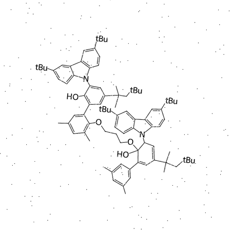 Cc1cc(C)cc(C2=CC(C(C)(C)CC(C)(C)C)=CC(n3c4ccc(C(C)(C)C)cc4c4cc(C(C)(C)C)ccc43)C2(O)OCCCOc2c(C)cc(C)cc2-c2cc(C(C)(C)CC(C)(C)C)cc(-n3c4ccc(C(C)(C)C)cc4c4cc(C(C)(C)C)ccc43)c2O)c1